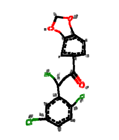 O=C(c1ccc2c(c1)OCO2)C(Br)c1cc(Cl)ccc1Cl